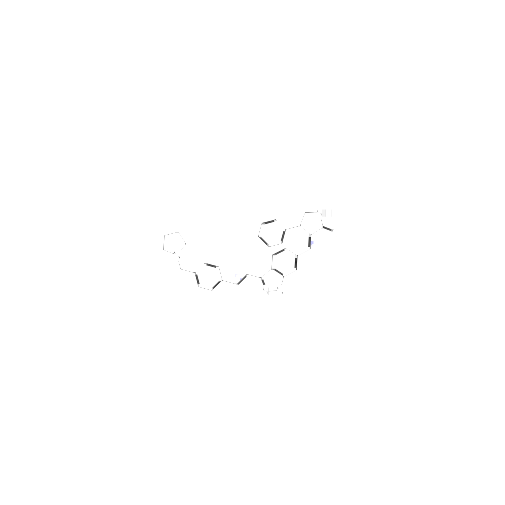 O=C1NCC(c2ccccc2)/C1=C\c1ccc2c(/C=C/c3ccc(CN4CCCC4)cc3)n[nH]c2c1